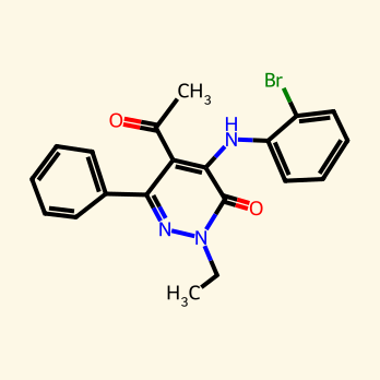 CCn1nc(-c2ccccc2)c(C(C)=O)c(Nc2ccccc2Br)c1=O